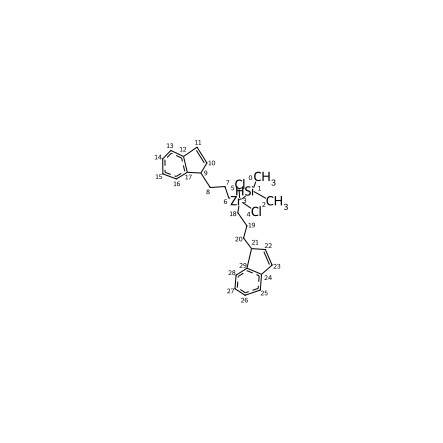 C[SiH](C)[Zr]([Cl])([Cl])([CH2]CCC1C=Cc2ccccc21)[CH2]CCC1C=Cc2ccccc21